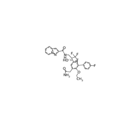 CCOc1c(CC(N)=O)cc([C@@](O)(CNC(=O)c2cc3ccccn3n2)C(F)(F)F)nc1-c1ccc(F)cc1